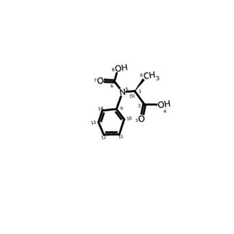 C[C@@H](C(=O)O)N(C(=O)O)c1ccccc1